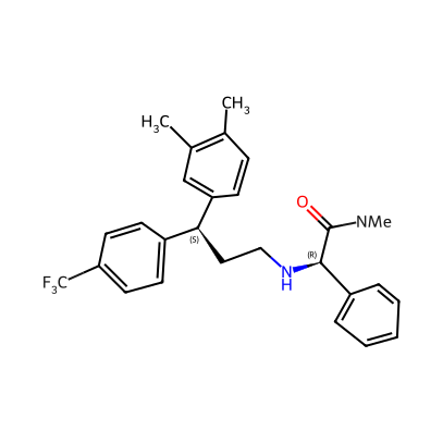 CNC(=O)[C@H](NCC[C@@H](c1ccc(C(F)(F)F)cc1)c1ccc(C)c(C)c1)c1ccccc1